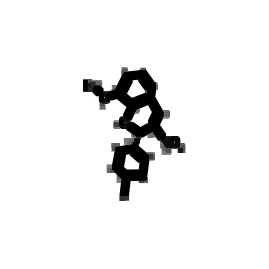 CCOc1cccc2c1O[C@@H](c1ccc(C)cc1)C([N+](=O)[O-])=C2